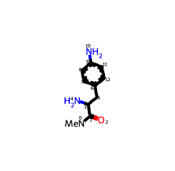 CNC(=O)C(N)Cc1ccc(N)cc1